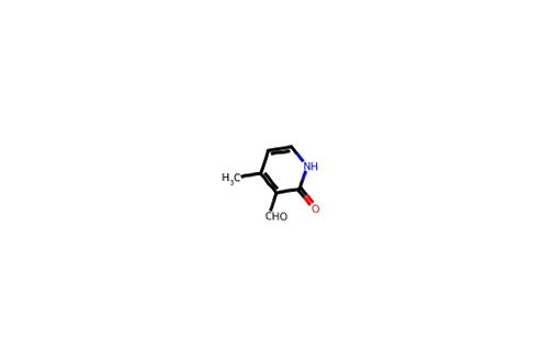 Cc1cc[nH]c(=O)c1C=O